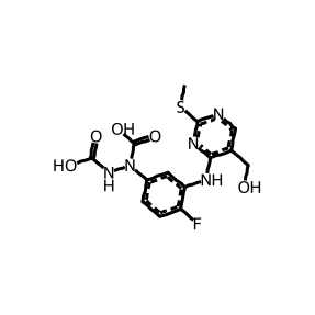 CSc1ncc(CO)c(Nc2cc(N(NC(=O)O)C(=O)O)ccc2F)n1